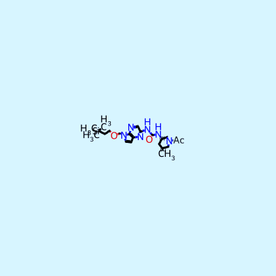 CC(=O)N1C[C@H](C)C[C@@H](NC(=O)Nc2cnc3c(ccn3COCC[Si](C)(C)C)n2)C1